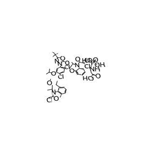 CC(C)Oc1cc(-n2nc(C(C)(C)C)oc2=O)c(Cl)cc1Cl.CC1COc2ccccc2N1C(=O)C(Cl)Cl.CCc1cccc(C)c1N(C(=O)CCl)C(C)COC.O=C(O)CNCP(=O)(O)O